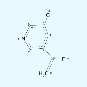 C=C(F)c1cn[c]c(Cl)c1